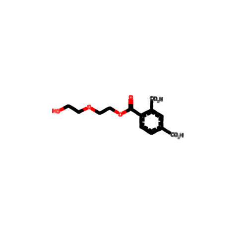 O=C(O)c1ccc(C(=O)OCCOCCO)c(C(=O)O)c1